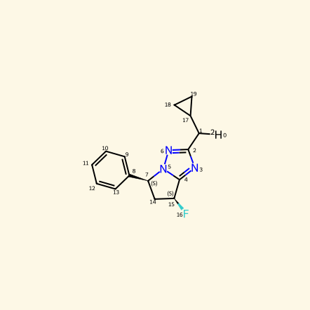 [2H]C(c1nc2n(n1)[C@H](c1ccccc1)C[C@@H]2F)C1CC1